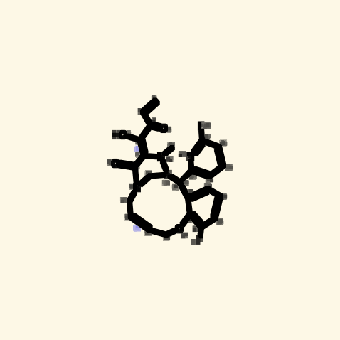 C=CC(=O)/C(O)=C1/C(=O)N2C/C=C\COc3c(F)cccc3[C@H](c3cccc(F)n3)N(C2)N1C